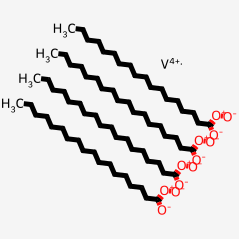 CCCCCCCCCCCCCCCCCC([O-])=[O+][O-].CCCCCCCCCCCCCCCCCC([O-])=[O+][O-].CCCCCCCCCCCCCCCCCC([O-])=[O+][O-].CCCCCCCCCCCCCCCCCC([O-])=[O+][O-].[V+4]